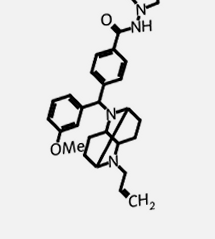 C=CCN1C2CCC3C1CCC2N3C(c1ccc(C(=O)NN2CCCC2)cc1)c1cccc(OC)c1